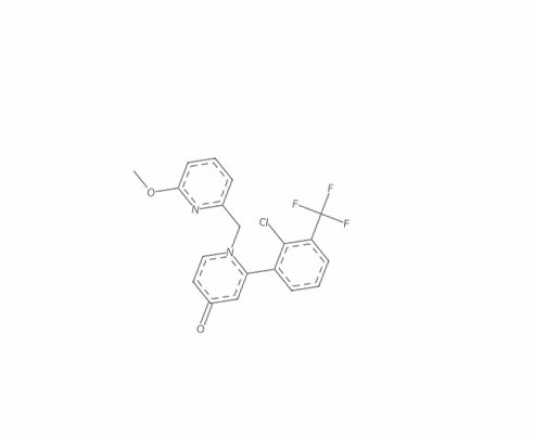 COc1cccc(Cn2ccc(=O)cc2-c2cccc(C(F)(F)F)c2Cl)n1